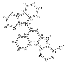 Clc1cccc2c1oc1cc(-n3c4ccccc4c4ccccc43)c3ccccc3c12